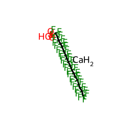 O=S(=O)(O)C(F)(F)C(F)(F)C(F)(F)C(F)(F)C(F)(F)C(F)(F)C(F)(F)C(F)(F)C(F)(F)C(F)(F)C(F)(F)C(F)(F)C(F)(F)C(F)(F)C(F)(F)C(F)(F)C(F)(F)C(F)(F)F.[CaH2]